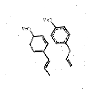 C=CCc1ccc(OC)cc1.CC=CC1=CCC(OC)C=C1